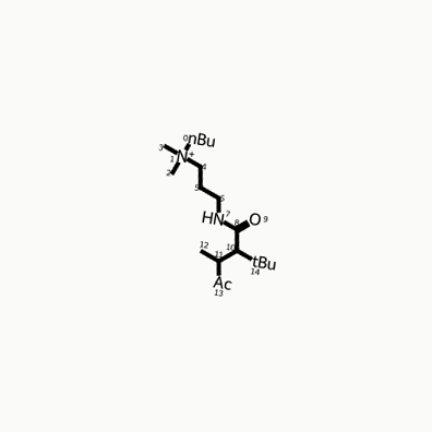 CCCC[N+](C)(C)CCCNC(=O)C(C(C)C(C)=O)C(C)(C)C